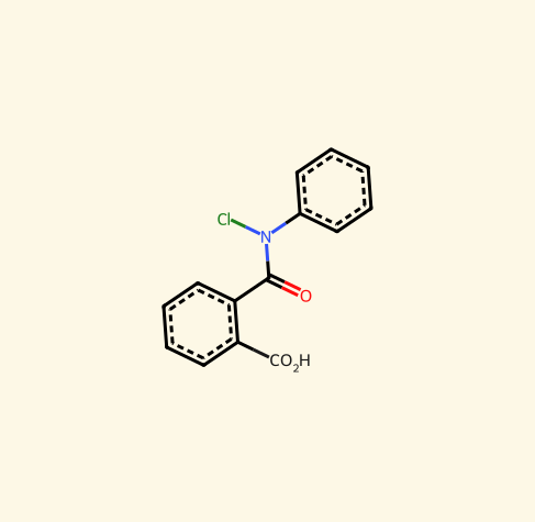 O=C(O)c1ccccc1C(=O)N(Cl)c1ccccc1